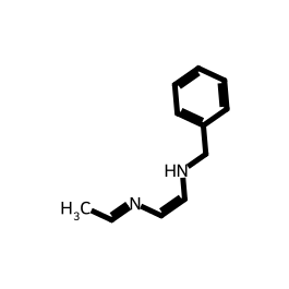 C/C=N/C=C\NCc1ccccc1